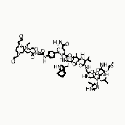 CCN(CC=O)C1(CCC(=O)NCC(=O)Nc2ccc(C(=O)N[C@@H](CCC(N)=O)C(=O)N[C@@H](Cc3c[nH]c4ccccc34)C(=O)N[C@@H](C)C(=O)N[C@H](C(=O)NCC(=O)N[C@@H](Cc3cnc[nH]3)C(=O)N[C@@H](CC(C)C)C(=O)N[C@@H](CCSC)C(N)=O)C(C)C)cc2)CN(CC=O)CCN(CC=O)C1